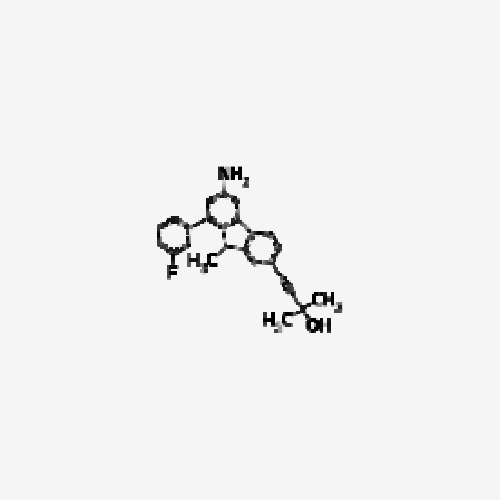 CC1c2cc(C#CC(C)(C)O)ccc2-c2cc(N)cc(-c3cccc(F)c3)c21